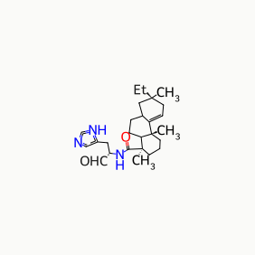 CC[C@@]1(C)CC=C2C(CCC3[C@](C)(C(=O)N[C@H](C=O)Cc4cnc[nH]4)CCC[C@@]23C)C1